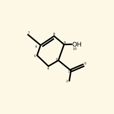 C=C(C)C1CCC(C)=CC1O